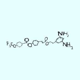 Nc1cc(N)cc(CCOC(=O)/C=C/c2ccc(OC(=O)C3CCC(OC(F)(F)F)CC3)cc2)c1